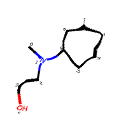 CN(CCO)C1CCCCC1